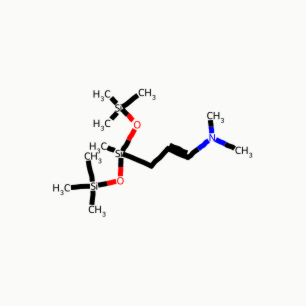 CN(C)C=CC[Si](C)(O[Si](C)(C)C)O[Si](C)(C)C